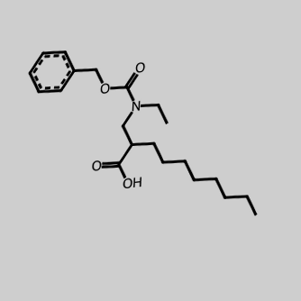 CCCCCCCCC(CN(CC)C(=O)OCc1ccccc1)C(=O)O